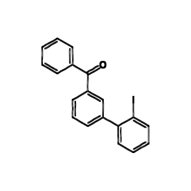 O=C(c1ccccc1)c1cccc(-c2ccccc2I)c1